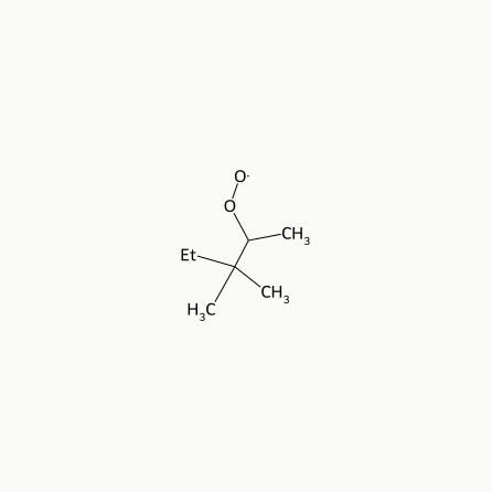 CCC(C)(C)C(C)O[O]